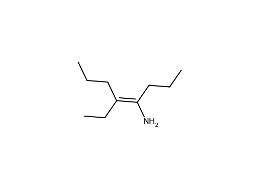 CCCC(N)=C(CC)CCC